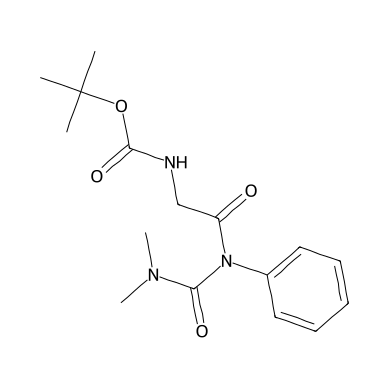 CN(C)C(=O)N(C(=O)CNC(=O)OC(C)(C)C)c1ccccc1